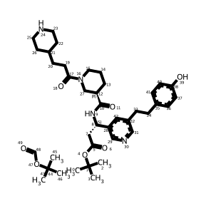 CC(C)(C)OC(=O)C[C@H](NC(=O)[C@@H]1CCCN(C(=O)CCC2CCNCC2)C1)c1cncc(CCc2ccc(O)cc2)c1.CC(C)(C)OC=O